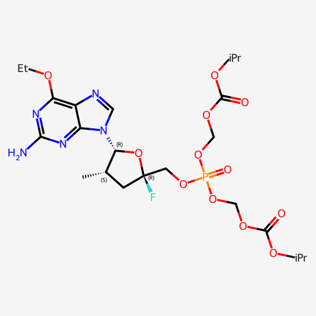 CCOc1nc(N)nc2c1ncn2[C@@H]1O[C@](F)(COP(=O)(OCOC(=O)OC(C)C)OCOC(=O)OC(C)C)C[C@@H]1C